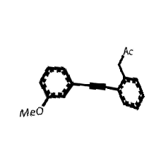 COc1cccc(C#Cc2ccccc2CC(C)=O)c1